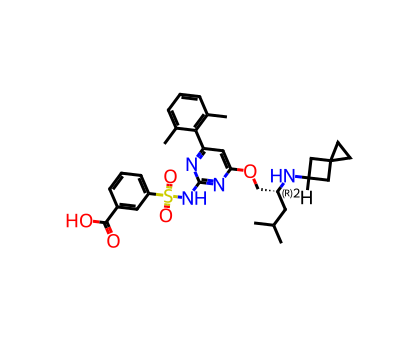 [2H]C1(N[C@@H](COc2cc(-c3c(C)cccc3C)nc(NS(=O)(=O)c3cccc(C(=O)O)c3)n2)CC(C)C)CC2(CC2)C1